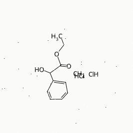 C.CCOC(=O)C(O)c1ccccc1.Cl.Cl